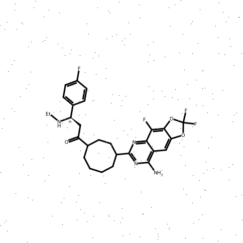 CCN[C@H](CC(=O)C1CCCCC(c2nc(N)c3cc4c(c(F)c3n2)OC(F)(F)O4)CC1)c1ccc(F)cc1